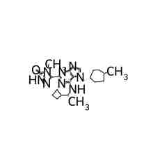 C[C@@H](Nc1nc(-c2n[nH]c(=O)n2C)nc2ncn(C[C@H]3CC[C@H](C)CC3)c12)C1CCC1